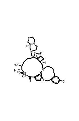 CCCO[C@@]1(CN2CCN3CCOC[C@@H]3C2)/C=C/C[C@H](C)[C@@H](C)S(=O)(=O)NC(=O)c2ccc3c(c2)N(CCCCc2cc(Cl)ccc2CO3)C[C@@H]2CC[C@H]21